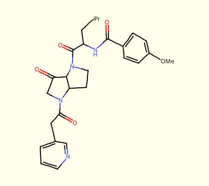 COc1ccc(C(=O)NC(CC(C)C)C(=O)N2CCC3C2C(=O)CN3C(=O)Cc2cccnc2)cc1